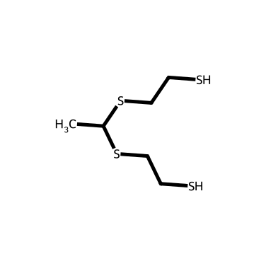 CC(SCCS)SCCS